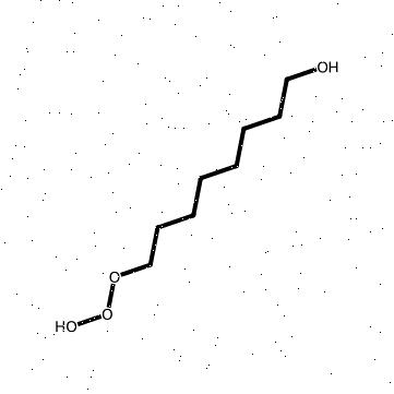 OCCCCCCCCOOO